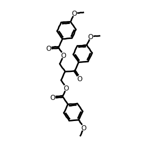 COc1ccc(C(=O)OCC(COC(=O)c2ccc(OC)cc2)C(=O)c2ccc(OC)cc2)cc1